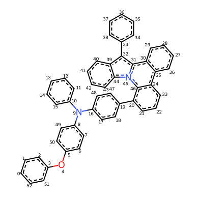 c1ccc(Oc2ccc(N(c3ccccc3)c3ccc(-c4cccc5c6ccccc6c6c(-c7ccccc7)c7ccccc7n6c45)cc3)cc2)cc1